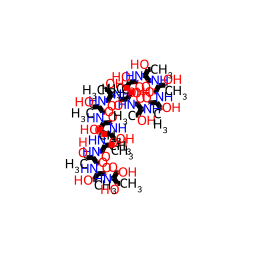 CC(O)C(O)C(=O)NC(C(=O)NC(C(=O)NC(C(=O)NC(C(=O)NC(C(=O)NC(C(=O)NC(C(=O)NC(C(=O)NC(C(=O)NC(C(=O)NC(C(=O)NC(C(=O)NC(C(=O)O)C(C)O)C(C)O)C(C)O)C(C)O)C(C)O)C(C)O)C(C)O)C(C)O)C(C)O)C(C)O)C(C)O)C(C)O)C(C)O